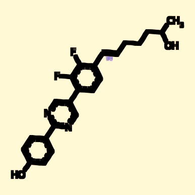 CC(O)CCC/C=C/c1ccc(-c2cnc(-c3ccc(O)cc3)nc2)c(F)c1F